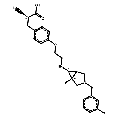 N#C[C@H](Cc1ccc(OCCN[C@H]2C3CN(Cc4cccc(F)c4)C[C@@H]32)cc1)C(=O)O